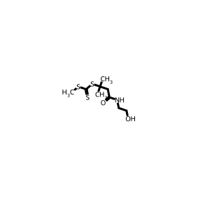 CSC(=S)SC(C)(C)CC(=O)NCCO